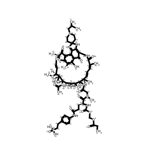 CCC(=O)OCOC(=O)N[C@@H](CCC(=O)Nc1ccc(CCP(=O)(O)O)cc1)C(=O)N(C)CC(=O)O[C@@H]1[C@@H](C)[C@@H](O)[C@@H](C)[C@H](OC(C)=O)[C@H](C)[C@@H](OC)/C=C/O[C@@]2(C)Oc3c(C)c(O)c4c(c3C2=O)C2=NC3(CCN(CC(C)C)CC3)NC2=C(NC(=O)/C(C)=C\C=C\[C@@H]1C)C4=O